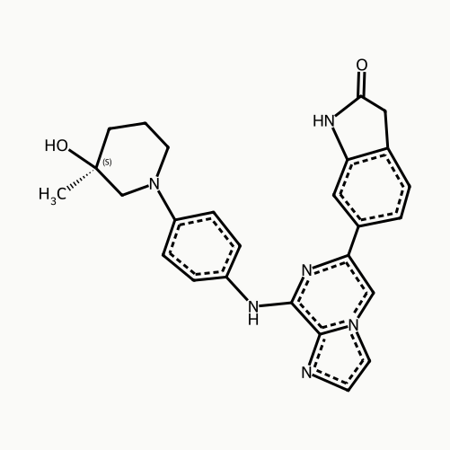 C[C@]1(O)CCCN(c2ccc(Nc3nc(-c4ccc5c(c4)NC(=O)C5)cn4ccnc34)cc2)C1